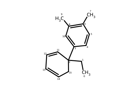 CCC1(c2ccc(C)c(C)c2)C=CC=CC1